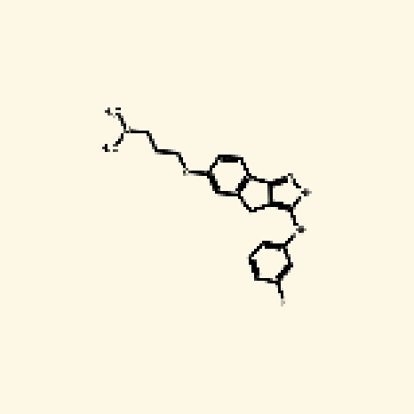 CN(C)CCCOc1ccc2c(c1)Cc1c-2n[nH]c1Nc1cccc(F)c1